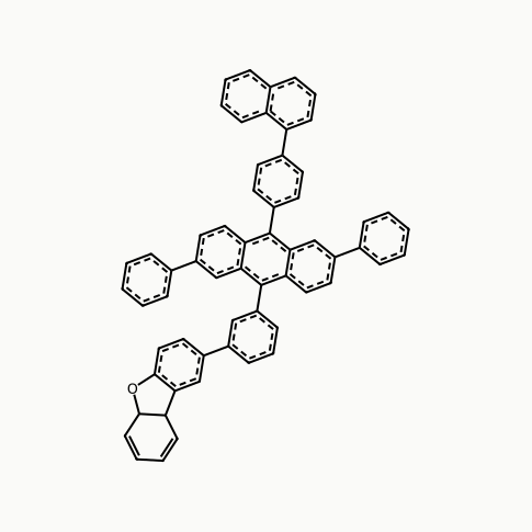 C1=CC2Oc3ccc(-c4cccc(-c5c6ccc(-c7ccccc7)cc6c(-c6ccc(-c7cccc8ccccc78)cc6)c6ccc(-c7ccccc7)cc56)c4)cc3C2C=C1